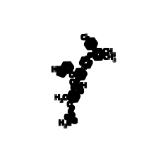 Cc1cc(S(=O)(=O)NC(=O)c2ccc(N3CCN(CC4=CCC(C)(C)C=C4c4ccc(Cl)cc4)CC3)cc2Oc2cccc3[nH]ccc23)ccc1OCCCS(C)(=O)=O